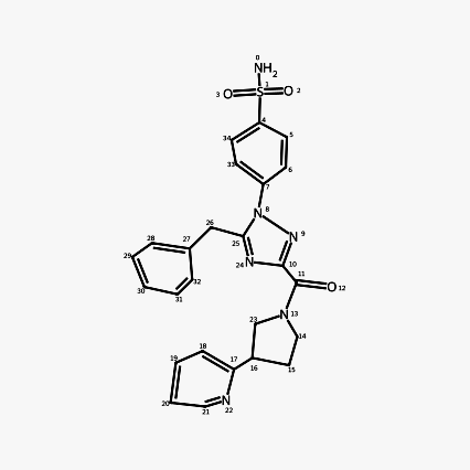 NS(=O)(=O)c1ccc(-n2nc(C(=O)N3CCC(c4ccccn4)C3)nc2Cc2ccccc2)cc1